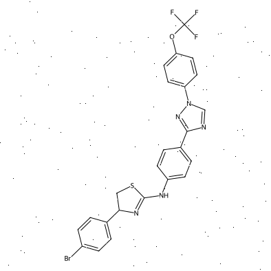 FC(F)(F)Oc1ccc(-n2cnc(-c3ccc(NC4=NC(c5ccc(Br)cc5)CS4)cc3)n2)cc1